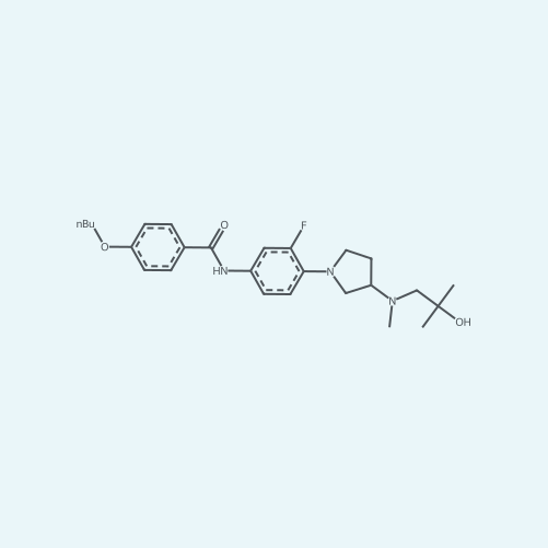 CCCCOc1ccc(C(=O)Nc2ccc(N3CCC(N(C)CC(C)(C)O)C3)c(F)c2)cc1